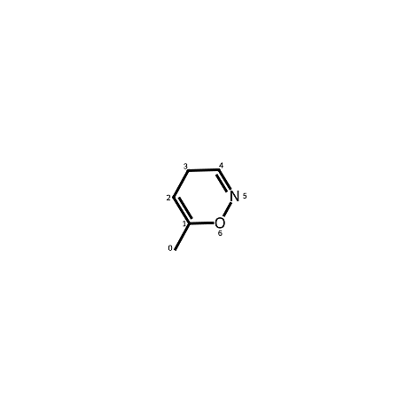 CC1=CCC=NO1